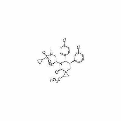 CC[C@@H](CN(C)S(=O)(=O)C1CC1)N1C(=O)C2(CC2C(=O)O)C[C@H](c2cccc(Cl)c2)[C@H]1c1ccc(Cl)cc1